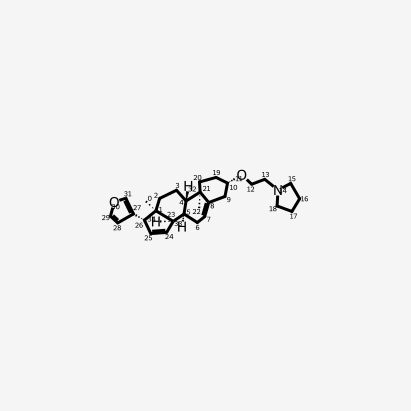 C[C@]12CC[C@H]3[C@@H](CC=C4C[C@@H](OCCN5CCCC5)CC[C@@]43C)[C@H]1C=C[C@@H]2c1ccoc1